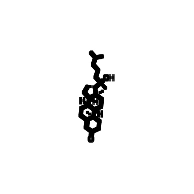 CC(C)CCC[C@](C)(O)[C@H]1CC[C@H]2[C@@H]3CCC4=CC(=O)CC[C@]4(C)[C@H]3CC[C@@]21C